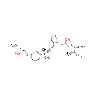 C=C/C(=C\C=C\C(C)(C)C1=CC=C(OCC(O)COC(C)=O)CC=C1)OCC(O)COC(OC)C(=C)C